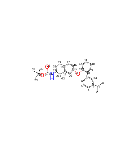 CC(C)c1cccc(-c2ccccc2Oc2ccc3c(c2)C(C)C(NC(=O)OC(C)(C)C)CC3)c1